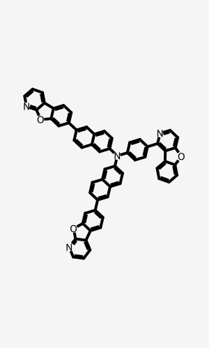 c1ccc2c(c1)oc1ccnc(-c3ccc(N(c4ccc5cc(-c6ccc7c(c6)oc6ncccc67)ccc5c4)c4ccc5cc(-c6ccc7c(c6)oc6ncccc67)ccc5c4)cc3)c12